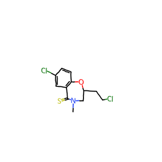 CN1CC(CCCl)Oc2ccc(Cl)cc2C1=S